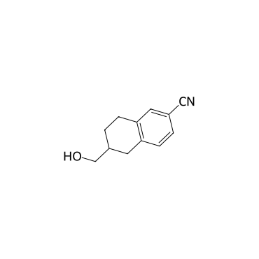 N#Cc1ccc2c(c1)CCC(CO)C2